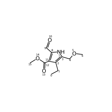 CCc1c(COC)[nH]c(C=O)c1C(=O)OC